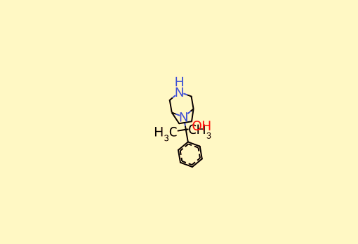 CC(C)(c1ccccc1)N1C2CNCC1C(O)C2